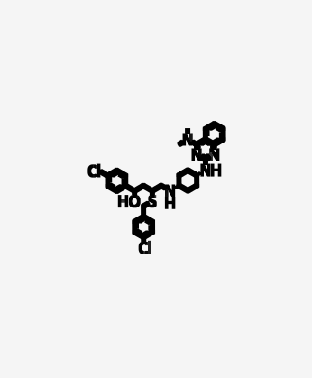 CN(C)c1nc(N[C@H]2CC[C@@H](NCC(CC(O)c3ccc(Cl)cc3)SCc3ccc(Cl)cc3)CC2)nc2ccccc12